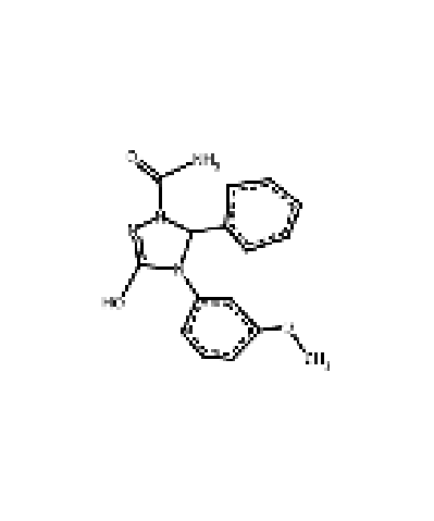 COc1cccc(N2C(O)=NN(C(N)=O)C2c2ccccc2)c1